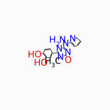 Cn1c(-c2ccc(O)c(O)c2)nc(N(N)c2ccccn2)nc1=O